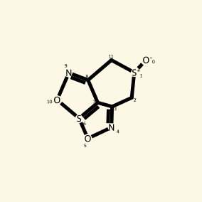 [O-][S+]1CC2=NOS3=C2C(=NO3)C1